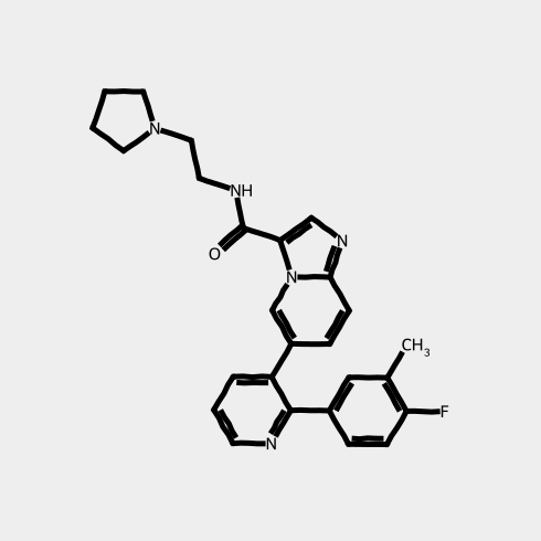 Cc1cc(-c2ncccc2-c2ccc3ncc(C(=O)NCCN4CCCC4)n3c2)ccc1F